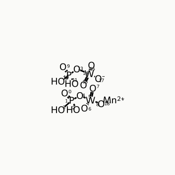 O=P(O)(O)[O][W](=[O])(=[O])[O-].O=P(O)(O)[O][W](=[O])(=[O])[O-].[Mn+2]